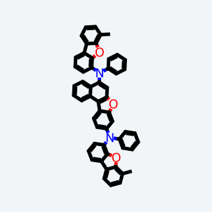 Cc1cccc2c1oc1c(N(c3ccccc3)c3ccc4c(c3)oc3cc(N(c5ccccc5)c5cccc6c5oc5c(C)cccc56)c5ccccc5c34)cccc12